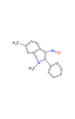 Cc1ccc2c(N=O)c(-c3ccccc3)n(C)c2c1